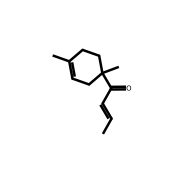 C/C=C/C(=O)C1(C)CC=C(C)CC1